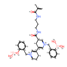 C=C(C)C(=O)NCCCNC(=O)C1C=[N+](Cc2ccccc2B(O)O)C=C(C2=C[N+](Cc3ccccc3OBO)=CCC2)C1